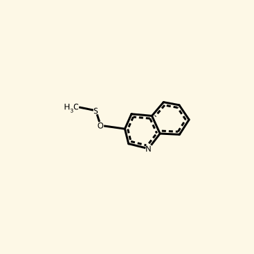 CSOc1cnc2ccccc2c1